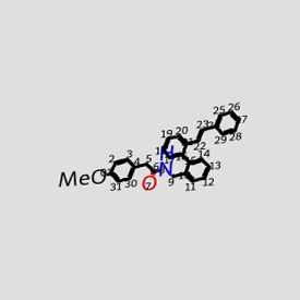 COc1ccc(CC(=O)NCc2ccccc2-c2ccccc2C=Cc2ccccc2)cc1